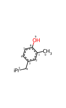 Cc1cc(CC(C)C)ccc1O